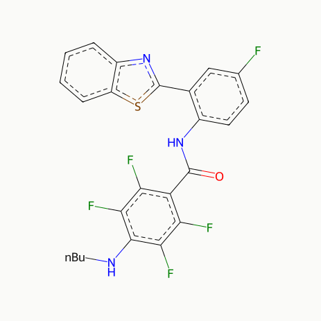 CCCCNc1c(F)c(F)c(C(=O)Nc2ccc(F)cc2-c2nc3ccccc3s2)c(F)c1F